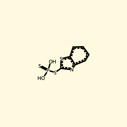 OP(O)(=S)Sc1nc2ccccc2s1